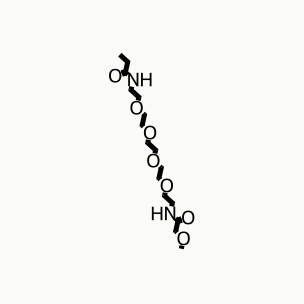 CCC(=O)NCCOCCOCCOCCOCCNC(=O)COC